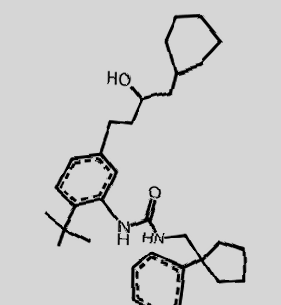 CC(C)(C)c1ccc(CCC(O)CC2CCCCC2)cc1NC(=O)NCC1(c2ccccc2)CCCC1